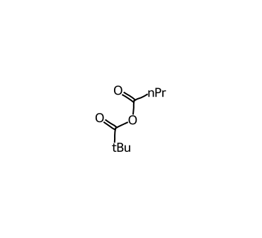 CCCC(=O)OC(=O)C(C)(C)C